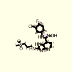 CS(=O)(=O)CCCNc1nc2nccc(/C(=N\O)Nc3ccc(F)c(Cl)c3)c2[nH]1